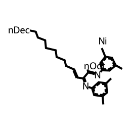 CCCCCCCCCCCCCCCCCCC=CC(=Nc1cc(C)cc(C)c1)C(CCCCCCCC)=Nc1cc(C)cc(C)c1.[Ni]